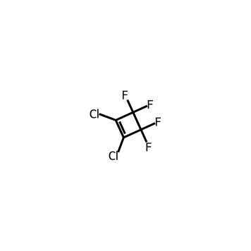 FC1(F)C(Cl)=C(Cl)C1(F)F